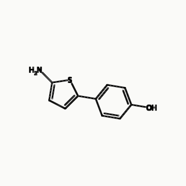 Nc1ccc(-c2ccc(O)cc2)s1